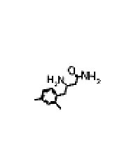 Cc1ccc(C[C@@H](N)CC(N)=O)c(C)c1